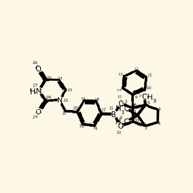 CC1(C)C2CCC1(C)C1(c3ccccc3)OB(c3ccc(Cn4ccc(=O)[nH]c4=O)cc3)OC21